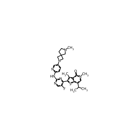 Cc1c(-c2nc(Nc3ccc(N4CC5(CCN(C)C5)C4)cn3)ncc2F)sc2c(C(C)C)cn(C)c(=O)c12